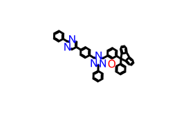 c1ccc(-c2ncc(-c3ccc(-c4nc(-c5ccccc5)nc(-c5cccc6c5Oc5ccccc5C65c6ccccc6-c6ccccc65)n4)cc3)cn2)cc1